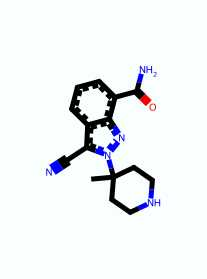 CC1(n2nc3c(C(N)=O)cccc3c2C#N)CCNCC1